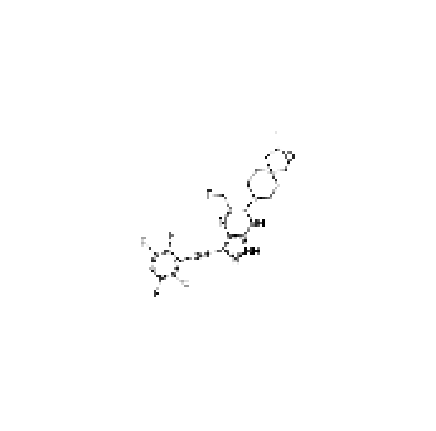 C[C@H]1CC2(CCN(C3Nc4[nH]nc(C#Cc5c(F)c(F)cc(F)c5F)c4N=C3CF)CC2)CO1